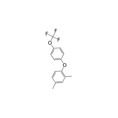 Cc1ccc(Oc2ccc(OC(F)(F)F)cc2)c(C)c1